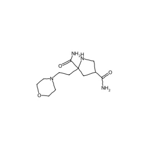 NC(=O)C1CNC(CCN2CCOCC2)(C(N)=O)C1